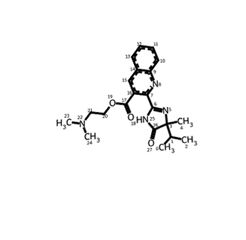 CC(C)C1(C)N=C(c2nc3ccccc3cc2C(=O)OCCN(C)C)NC1=O